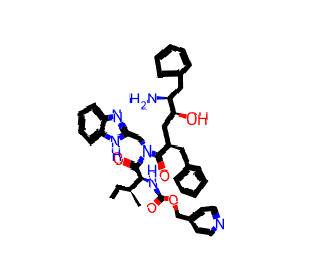 CC[C@H](C)[C@H](NC(=O)OCc1ccncc1)C(=O)N(Cc1nc2ccccc2[nH]1)C(=O)[C@H](Cc1ccccc1)C[C@H](O)[C@@H](N)Cc1ccccc1